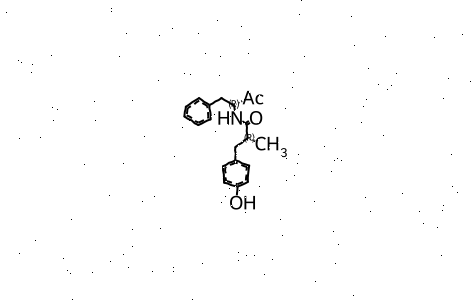 CC(=O)[C@@H](Cc1ccccc1)NC(=O)[C@H](C)Cc1ccc(O)cc1